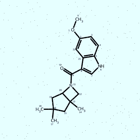 COc1ccc2[nH]cc(C(=O)N3CC4(C)CC(C)(C)CC34)c2c1